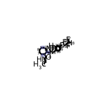 CCNC(=O)/C1=C/CC/C=C\C(=N)\C1=C/NCc1ccc(OCC(F)(F)C(F)I)cn1